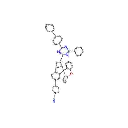 N#Cc1ccc(-c2ccc3c(c2)C2(c4ccccc4Oc4ccccc42)c2cc(-c4nc(-c5ccccc5)nc(-c5ccc(-c6ccccc6)cc5)n4)ccc2-3)cc1